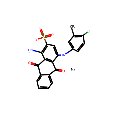 Nc1c(S(=O)(=O)[O-])cc(Nc2ccc(Cl)c(C(F)(F)F)c2)c2c1C(=O)c1ccccc1C2=O.[Na+]